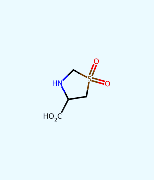 O=C(O)C1CS(=O)(=O)CN1